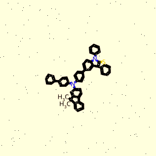 CC1(C)c2ccccc2-c2ccc(N(c3ccc(-c4ccccc4)cc3)c3ccc(-c4ccc5c(c4)c4c6ccccc6sc4n5-c4ccccc4)cc3)cc21